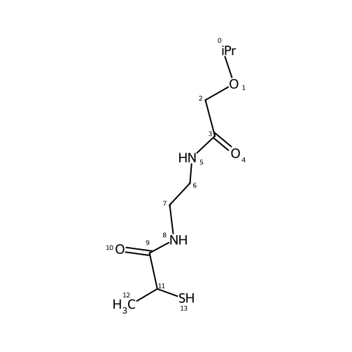 CC(C)OCC(=O)NCCNC(=O)C(C)S